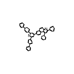 C1=CCC(c2cc(-c3ccccc3)nc3ccc4cc(-c5cc(C6=CCC(c7ccccc7)C=C6)nc(-c6ccc(-c7ccccc7)cc6)c5)ccc4c23)C=C1